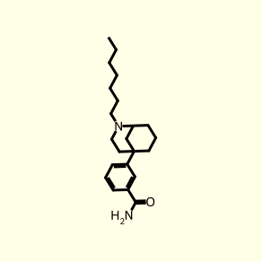 CCCCCCCN1CCC2(c3cccc(C(N)=O)c3)CCCC1C2